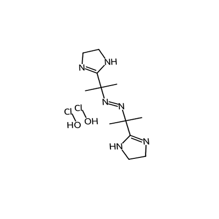 CC(C)(N=NC(C)(C)C1=NCCN1)C1=NCCN1.OCl.OCl